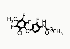 COC(=O)Nc1ccc(Oc2c(F)c(F)c(C)c(F)c2Cl)cc1F